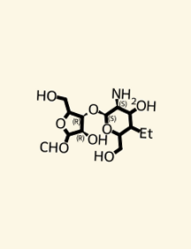 CCC1C(CO)O[C@@H](O[C@H]2C(CO)OC(C=O)[C@@H]2O)[C@@H](N)C1O